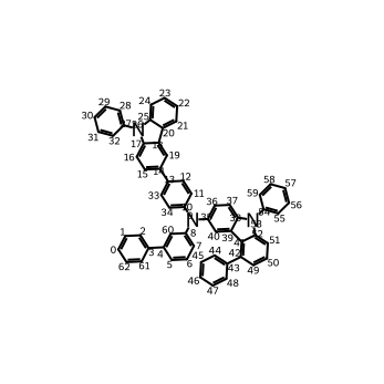 c1ccc(-c2cccc(N(c3ccc(-c4ccc5c(c4)c4ccccc4n5-c4ccccc4)cc3)c3ccc4c(c3)c3c(-c5ccccc5)cccc3n4-c3ccccc3)c2)cc1